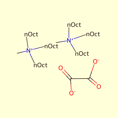 CCCCCCCC[N+](C)(CCCCCCCC)CCCCCCCC.CCCCCCCC[N+](C)(CCCCCCCC)CCCCCCCC.O=C([O-])C(=O)[O-]